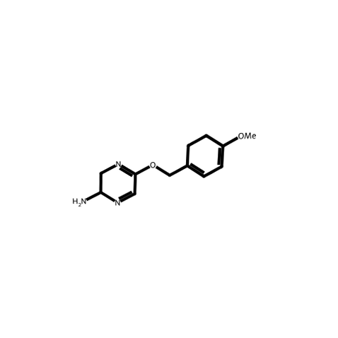 COC1=CC=C(COC2=NCC(N)N=C2)CC1